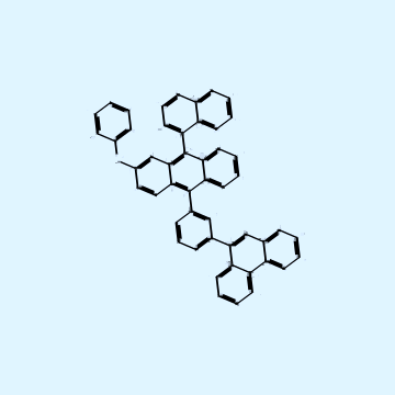 c1ccc([SiH2]c2ccc3c(-c4cccc(-c5cc6ccccc6c6ccccc56)c4)c4ccccc4c(-c4cccc5ccccc45)c3c2)cc1